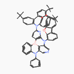 CC(C)(C)c1ccc(-c2cc(C(C)(C)C)ccc2N(c2ccc(C(C)(C)C)cc2)c2ccc3c(n2)N(c2cccc4c2oc2ccccc24)c2cncc4c2B3c2ccccc2N4c2ccccc2)cc1